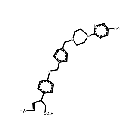 CC=CC(CC(=O)O)c1ccc(OCc2ccc(CN3CCN(c4ncc(CCC)cn4)CC3)cc2)cc1